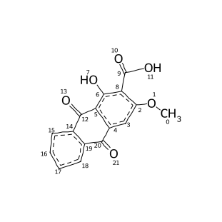 COc1cc2c(c(O)c1C(=O)O)C(=O)c1ccccc1C2=O